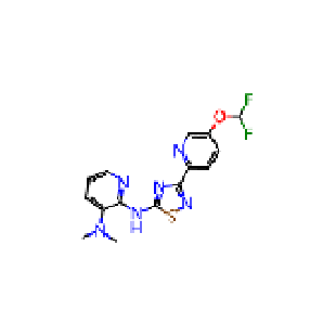 CN(C)c1cccnc1Nc1nc(-c2ccc(OC(F)F)cn2)ns1